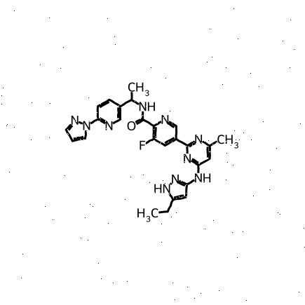 CCc1cc(Nc2cc(C)nc(-c3cnc(C(=O)NC(C)c4ccc(-n5cccn5)nc4)c(F)c3)n2)n[nH]1